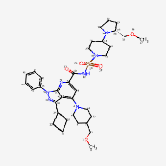 COCC1CCN(c2cc(C(=O)NS(=O)(=O)N3CCC(N4CCC[C@@H]4COC)CC3)nc3c2c(C2CCC2)nn3-c2ccccc2)CC1